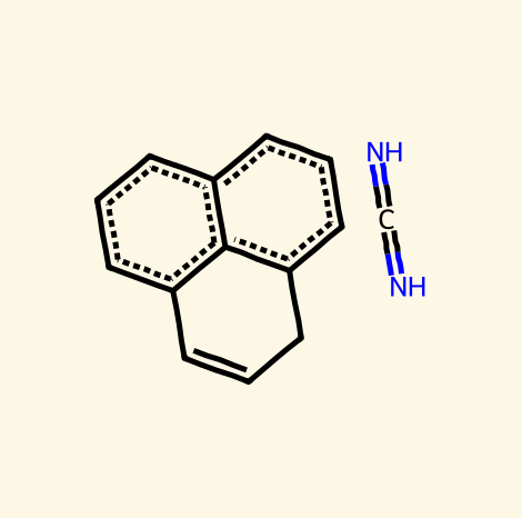 C1=Cc2cccc3cccc(c23)C1.N=C=N